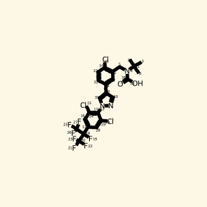 CC(C)(C)N(Cc1cc(-c2cnn(-c3c(Cl)cc(C(F)(C(F)(F)F)C(F)(F)F)cc3Cl)c2)ccc1Cl)C(=O)O